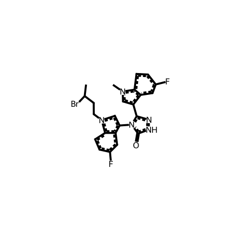 CC(Br)CCn1cc(-n2c(-c3cn(C)c4ccc(F)cc34)n[nH]c2=O)c2cc(F)ccc21